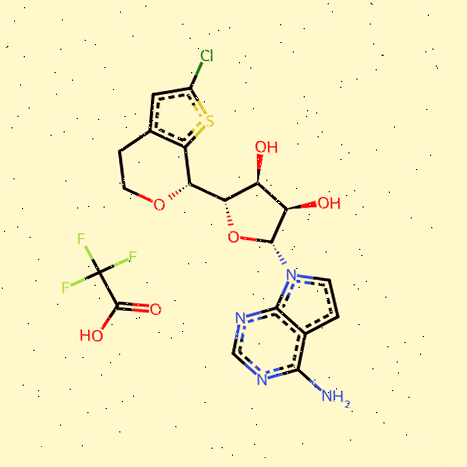 Nc1ncnc2c1ccn2[C@@H]1O[C@H]([C@@H]2OCCc3cc(Cl)sc32)[C@@H](O)[C@H]1O.O=C(O)C(F)(F)F